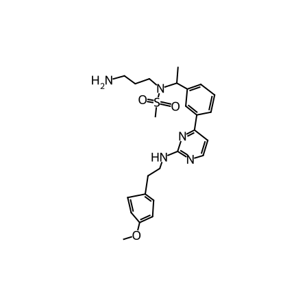 COc1ccc(CCNc2nccc(-c3cccc(C(C)N(CCCN)S(C)(=O)=O)c3)n2)cc1